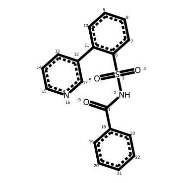 O=C(NS(=O)(=O)c1ccccc1-c1cccnc1)c1ccccc1